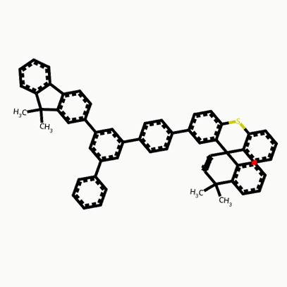 CC1(C)c2ccccc2-c2ccc(-c3cc(-c4ccccc4)cc(-c4ccc(-c5ccc6c(c5)C5(c7ccccc7S6)c6ccccc6C(C)(C)c6ccccc65)cc4)c3)cc21